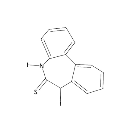 S=C1C(I)c2ccccc2-c2ccccc2N1I